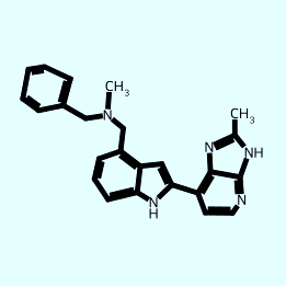 Cc1nc2c(-c3cc4c(CN(C)Cc5ccccc5)cccc4[nH]3)ccnc2[nH]1